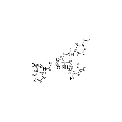 CCc1cccc(CNCC(OC(=O)CCn2sc(=O)c3ccccc32)C(N)Cc2cc(F)cc(F)c2)c1